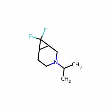 CC(C)N1CCC2C(C1)C2(F)F